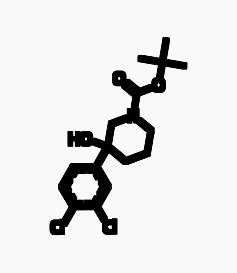 CC(C)(C)OC(=O)N1CCCC(O)(c2ccc(Cl)c(Cl)c2)C1